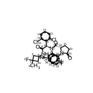 CC1(F)CC(NC(=O)[C@@H](c2c(Cl)cccc2Cl)N(C(=O)[C@@H]2CCC(=O)N2c2cc(C#N)ccn2)c2cccc(F)c2)C1